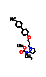 CN(C(=O)OC(C)(C)C)C1CCCN1CCCOc1ccc(-c2ccc(C#N)cc2)cc1